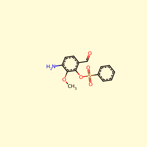 COc1c(N)ccc(C=O)c1OS(=O)(=O)c1ccccc1